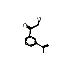 C=C(C)c1cccc(C(=O)CCl)c1